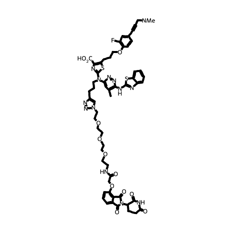 CNCC#Cc1ccc(OCCCc2sc(N(CCCc3cn(CCOCCOCCOCCNC(=O)COc4cccc5c4C(=O)N(C4CCC(=O)NC4=O)C5=O)nn3)c3cc(C)c(Nc4nc5ccccc5s4)nn3)nc2C(=O)O)c(F)c1